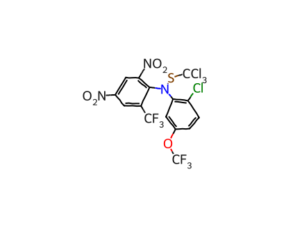 O=[N+]([O-])c1cc([N+](=O)[O-])c(N(SC(Cl)(Cl)Cl)c2cc(OC(F)(F)F)ccc2Cl)c(C(F)(F)F)c1